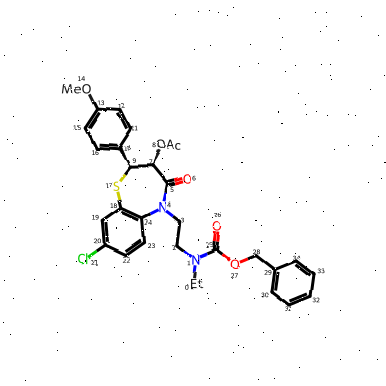 CCN(CCN1C(=O)[C@H](OC(C)=O)[C@H](c2ccc(OC)cc2)Sc2cc(Cl)ccc21)C(=O)OCc1ccccc1